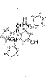 Oc1cc(N(O)c2ccccc2)c(N(O)c2ccccc2)c(N(O)c2ccccc2)c1